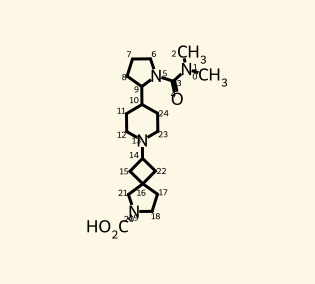 CN(C)C(=O)N1CCCC1C1CCN(C2CC3(CCN(C(=O)O)C3)C2)CC1